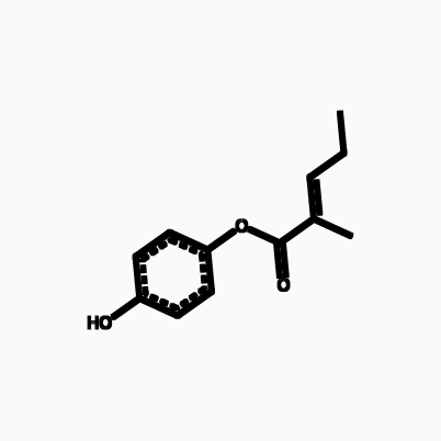 CCC=C(C)C(=O)Oc1ccc(O)cc1